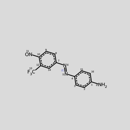 Nc1ccc(/N=N/c2ccc(N=O)c(C(F)(F)F)c2)cc1